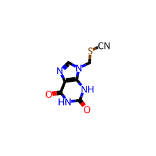 N#CSCn1cnc2c(=O)[nH]c(=O)[nH]c21